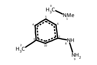 CNC.Cc1cccc(NN)c1